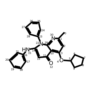 Cc1cc(OC2CCCC2)c2c(=O)cc(Nc3ccccc3)n(-c3ccccc3)c2n1